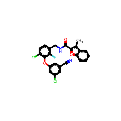 Cc1c(C(=O)NCc2ccc(Cl)c(Oc3cc(Cl)cc(C#N)c3)c2F)oc2ccccc12